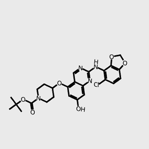 CC(C)(C)OC(=O)N1CCC(Oc2cc(O)cc3nc(Nc4c(Cl)ccc5c4OCO5)ncc23)CC1